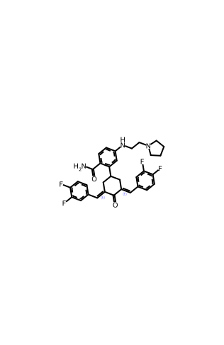 NC(=O)c1ccc(NCCN2CCCC2)cc1C1C/C(=C\c2ccc(F)c(F)c2)C(=O)/C(=C/c2ccc(F)c(F)c2)C1